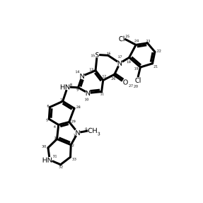 Cn1c2c(c3ccc(Nc4ncc5c(n4)SCN(c4c(Cl)cccc4Cl)C5=O)cc31)CNCC2